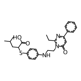 CCc1nc(-c2ccccc2)cc(=O)n1CCNc1ccc(SC(CC(C)C)C(=O)O)cc1